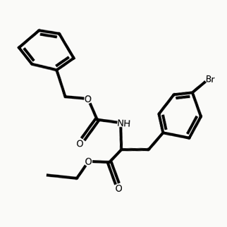 CCOC(=O)C(Cc1ccc(Br)cc1)NC(=O)OCc1ccccc1